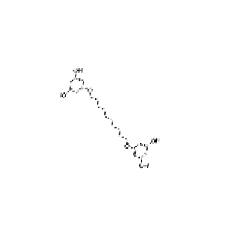 Oc1cc(O)cc(OCCCCCCCCCCOc2cc(O)cc(O)c2)c1